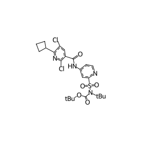 CC(C)(C)OC(=O)N(C(C)(C)C)S(=O)(=O)c1cc(NC(=O)c2cc(Cl)c(C3CCC3)nc2Cl)ccn1